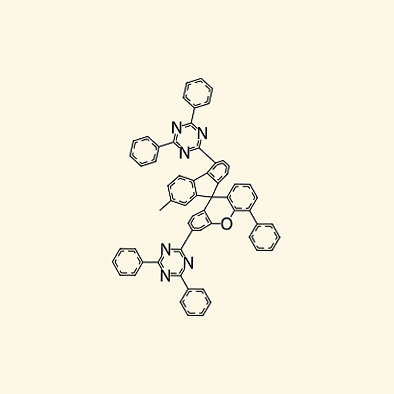 Cc1ccc2c(c1)C1(c3ccc(-c4nc(-c5ccccc5)nc(-c5ccccc5)n4)cc3Oc3c(-c4ccccc4)cccc31)c1cccc(-c3nc(-c4ccccc4)nc(-c4ccccc4)n3)c1-2